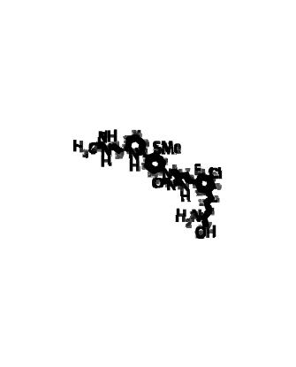 CSc1cc(-n2cc3cc(-c4cc(CCC[C@@H](N)CO)cc(Cl)c4F)[nH]c3nc2=O)ccc1[C@@H]1CCC[C@@H](CCNC(C)=N)N1